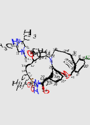 CO[C@]1(CN2C[C@@H](C)N[C@@H](C)C2)/C=C/C[C@H](C)[C@@H](C)S(=O)(=O)NC(=O)c2ccc3c(c2)N(CCCCc2cc(Cl)ccc2CO3)C[C@@H]2CC[C@H]21